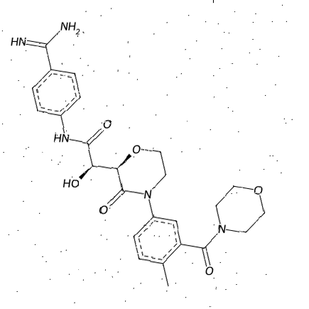 Cc1ccc(N2CCO[C@H]([C@@H](O)C(=O)Nc3ccc(C(=N)N)cc3)C2=O)cc1C(=O)N1CCOCC1